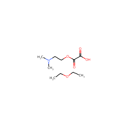 CCOCC.CN(C)CCOC(=O)C(=O)O